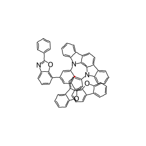 c1ccc(-c2nc3cccc(-c4cc(-c5cccc6c5oc5ccccc56)cc(-n5c6ccccc6c6ccc7c8ccccc8n(-c8ccc9c(c8)oc8ccccc89)c7c65)c4)c3o2)cc1